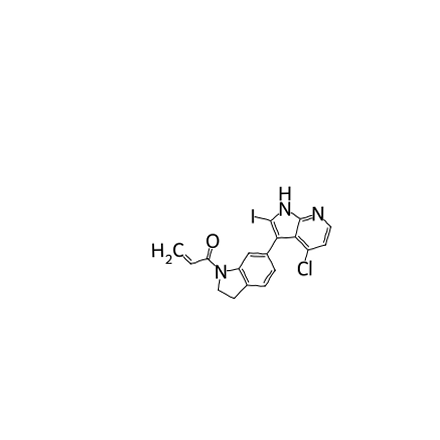 C=CC(=O)N1CCc2ccc(-c3c(I)[nH]c4nccc(Cl)c34)cc21